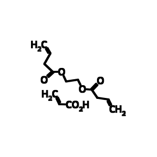 C=CC(=O)O.C=CCC(=O)OCCOC(=O)CC=C